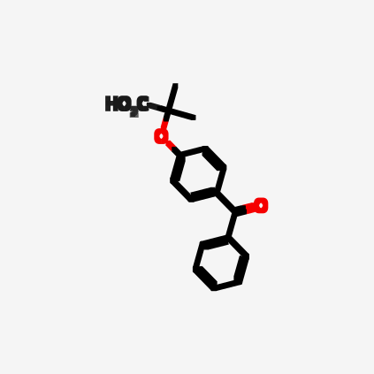 CC(C)(Oc1ccc(C(=O)c2ccccc2)cc1)C(=O)O